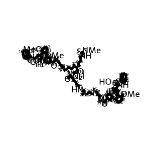 CNC(=S)NCCCCC(C(=O)CNC(CCCCNCN(C)CCCN(C)CCCN(C)C(=O)c1ccc(-n2nc(C(=O)NC3(C(=O)O)C4CC5CC(C4)CC3C5)cc2-c2c(OC)cccc2OC)c(C(C)C)c1)C(N)=O)C(C)CCCN(C)CCCN(C)C(=O)c1ccc(-n2nc(C(=O)NC3(C(=O)O)C4CC5CC(C4)CC3C5)cc2-c2c(OC)cccc2OC)c(C(C)C)c1